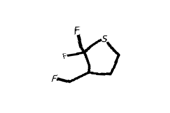 FCC1CCSC1(F)F